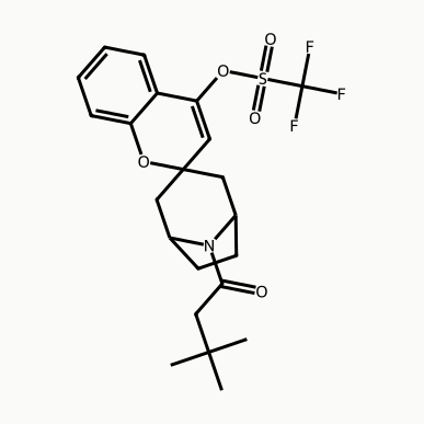 CC(C)(C)CC(=O)N1C2CCC1CC1(C=C(OS(=O)(=O)C(F)(F)F)c3ccccc3O1)C2